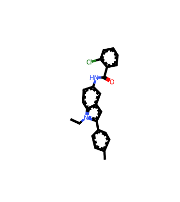 CCn1c(-c2ccc(C)cc2)cc2cc(NC(=O)c3ccccc3Cl)ccc21